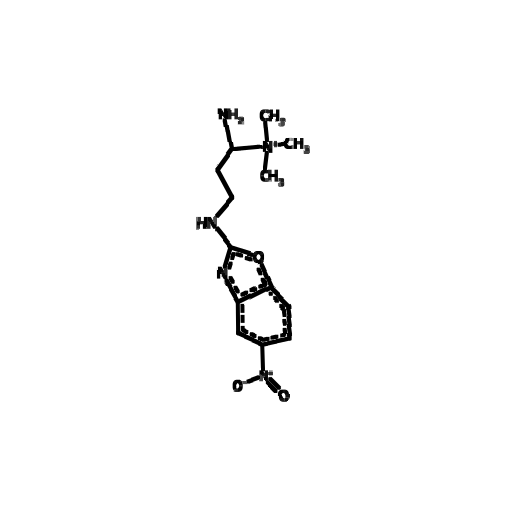 C[N+](C)(C)C(N)CCNc1nc2cc([N+](=O)[O-])ccc2o1